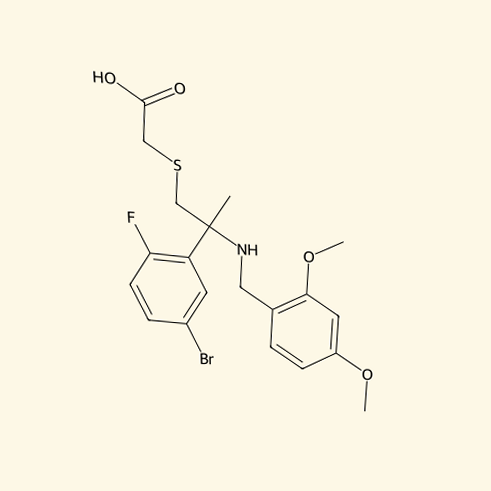 COc1ccc(CNC(C)(CSCC(=O)O)c2cc(Br)ccc2F)c(OC)c1